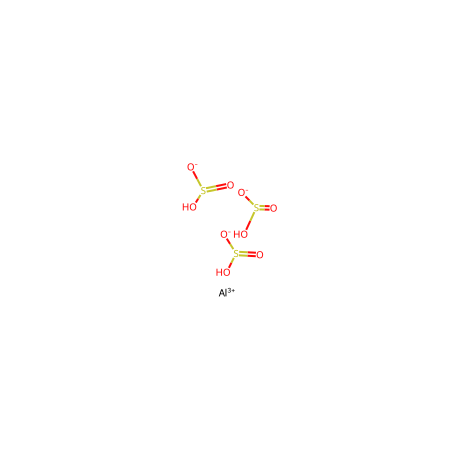 O=S([O-])O.O=S([O-])O.O=S([O-])O.[Al+3]